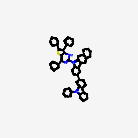 c1ccc(C2=C3SC(c4ccccc4)=C(c4ccccc4)C3NC(n3c4ccc(-c5ccc6c7ccccc7n(-c7ccccc7)c6c5)cc4c4cc5ccccc5cc43)=N2)cc1